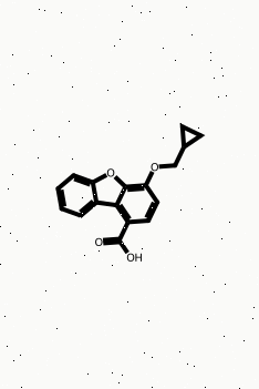 O=C(O)c1ccc(OCC2CC2)c2oc3ccccc3c12